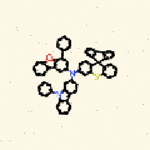 c1ccc(-c2cc(N(c3ccc4c(c3)Sc3ccccc3C43c4ccccc4-c4ccccc43)c3ccc4c5ccccc5n(-c5ccccc5)c4c3)cc3c2oc2ccccc23)cc1